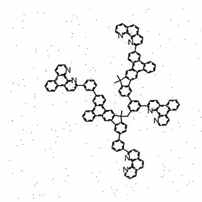 CC1(C)c2ccc(-c3cc(CC4(C)c5ccc(-c6cccc(-c7ccc8ccc9cccnc9c8n7)c6)cc5-c5cc6c7ccccc7c7cc(-c8cccc(-c9ccc%10c%11ccccc%11c%11cccnc%11c%10n9)c8)ccc7c6cc54)cc(-c4ccc5c6ccccc6c6cccnc6c5n4)c3)cc2-c2cc3c4ccccc4c4cc(-c5ccc6ccc7cccnc7c6n5)ccc4c3cc21